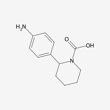 Nc1ccc(C2CCCCN2C(=O)O)cc1